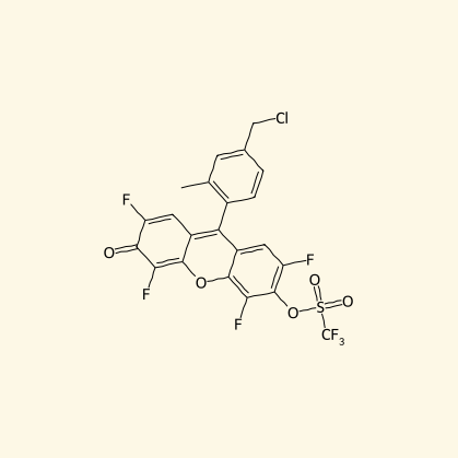 Cc1cc(CCl)ccc1-c1c2cc(F)c(=O)c(F)c-2oc2c(F)c(OS(=O)(=O)C(F)(F)F)c(F)cc12